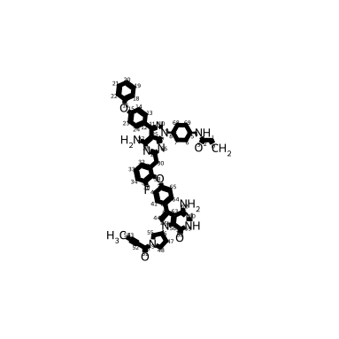 C=CC(=O)N[C@H]1CC[C@@H](n2nc(-c3ccc(Oc4ccccc4)cc3)c3c(N)nc(Cc4cccc(F)c4Oc4ccc(-c5cn([C@@H]6CCN(C(=O)C#CC)C6)c6c(=O)[nH]nc(N)c56)cc4)nc32)CC1